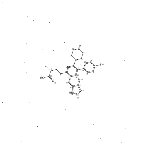 C[C@H](CCc1nc(C2CCOCC2)c(-c2ccc(F)cc2)c2cc3cn[nH]c3cc12)C(=O)O